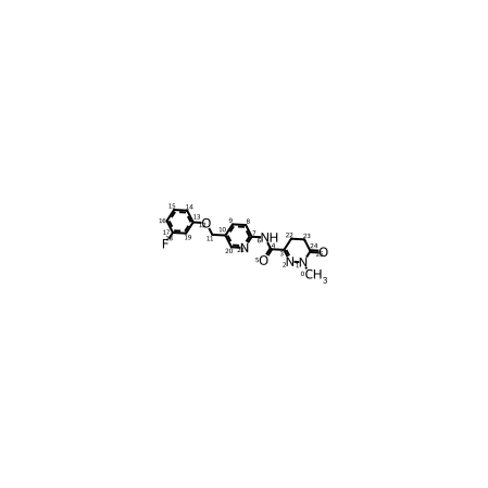 CN1N=C(C(=O)Nc2ccc(COc3cccc(F)c3)cn2)CCC1=O